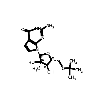 CC(C)(C)OC[C@H]1O[C@@H](n2ccc3c(=O)[nH]c(N)nc32)[C@](C)(O)[C@@H]1O